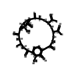 C=C1NCN(C(C)=O)CN(C(C)=O)CNC(=O)c2ccc(n(O)c2=O)C(=O)NC(C)NC(=O)c2ccc1c(=O)n2O